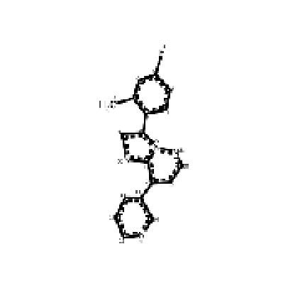 Cc1cc(F)ccc1-c1cnc2c(-c3cccnc3)ccnn12